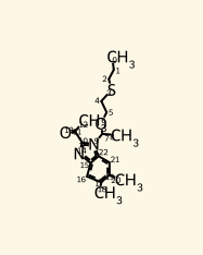 CCCSCCOC(C)n1c(C(C)=O)nc2cc(C)c(C)cc21